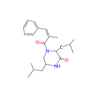 CC(=Cc1ccccc1)C(=O)N1CC(CC(C)C)NC(=O)C1CC(C)C